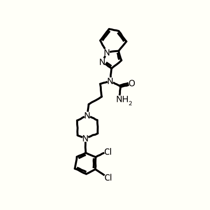 NC(=O)N(CCCN1CCN(c2cccc(Cl)c2Cl)CC1)c1cc2ccccn2n1